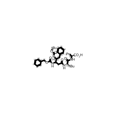 CC[C@H](C)[C@H](NC(=O)CC(NC(=O)OCc1ccccc1)C(Cc1ccccc1)NC(=O)OC(C)(C)C)C(=O)N[C@H](C(=O)O)C(C)C